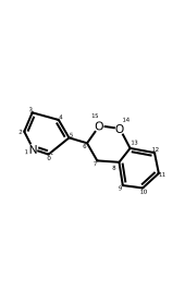 [c]1ncccc1C1Cc2ccccc2OO1